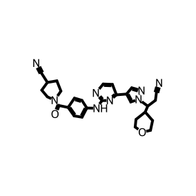 N#CCC(C1CCOCC1)n1cc(-c2ccnc(Nc3ccc(C(=O)N4CCC(C#N)CC4)cc3)n2)cn1